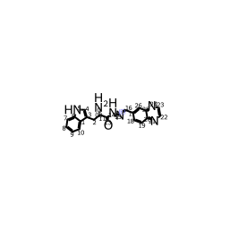 N[C@@H](Cc1c[nH]c2ccccc12)C(=O)N/N=C/c1ccc2nccnc2c1